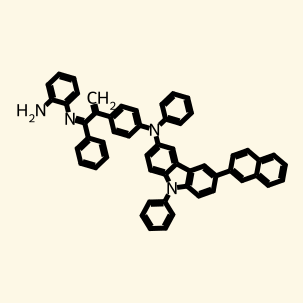 C=C(/C(=N\c1ccccc1N)c1ccccc1)c1ccc(N(c2ccccc2)c2ccc3c(c2)c2cc(-c4ccc5ccccc5c4)ccc2n3-c2ccccc2)cc1